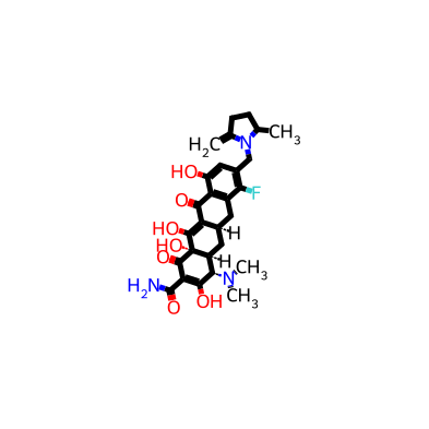 C=C1CCC(C)N1Cc1cc(O)c2c(c1F)C[C@H]1C[C@H]3[C@H](N(C)C)C(O)=C(C(N)=O)C(=O)[C@@]3(O)C(O)=C1C2=O